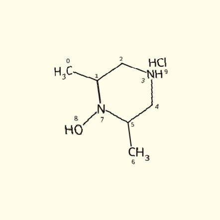 CC1CNCC(C)N1O.Cl